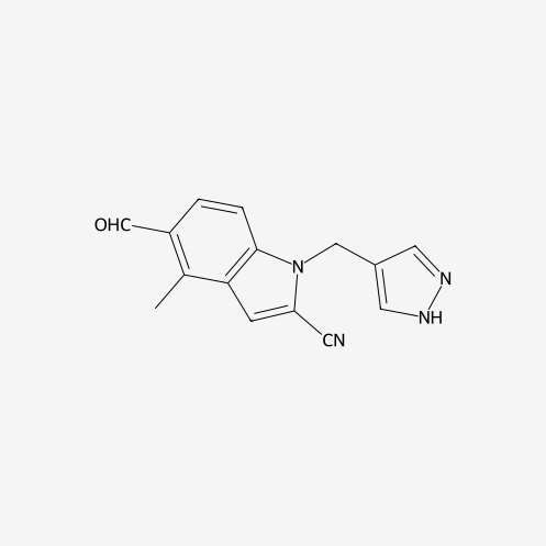 Cc1c(C=O)ccc2c1cc(C#N)n2Cc1cn[nH]c1